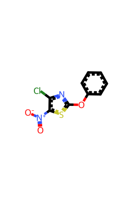 O=[N+]([O-])c1sc(Oc2ccccc2)nc1Cl